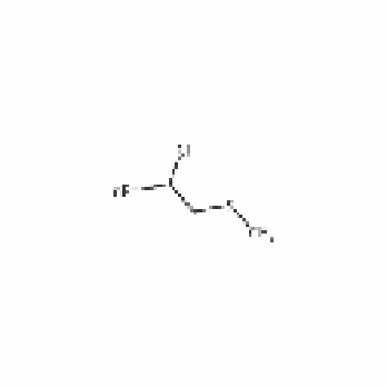 CCCC(Cl)CSC(F)(F)F